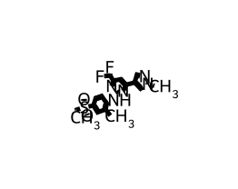 CCS(=O)(=O)c1ccc(Nc2nc(-c3cnn(C)c3)cc(C(F)F)n2)c(C)c1